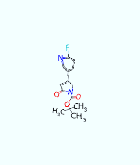 CC(C)(C)OC(=O)N1CC(c2ccc(F)nc2)=CC1=O